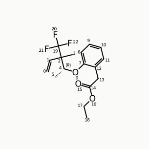 C=CC(C)([C@@H](C)Oc1ccccc1CC(=O)OCC)C(F)(F)F